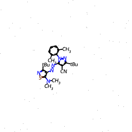 Cc1cccc(C)c1-n1nc(C(C)(C)C)c(C#N)c1/N=N/c1c(C(C)(C)C)nsc1N(C)C